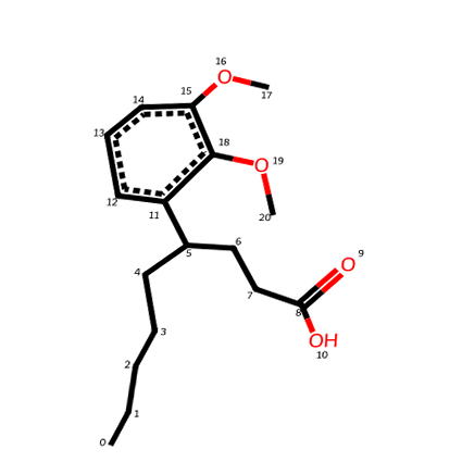 CCCCCC(CCC(=O)O)c1cccc(OC)c1OC